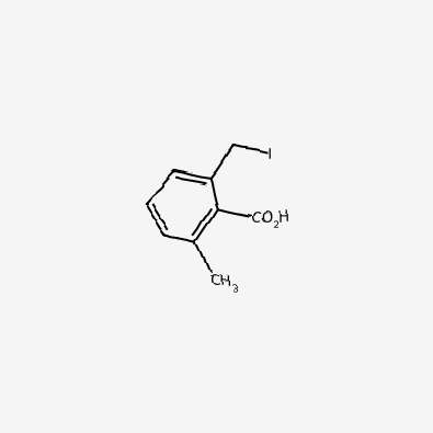 Cc1cccc(CI)c1C(=O)O